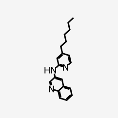 CCCCCCc1ccnc(Nc2cnc3ccccc3c2)c1